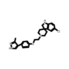 Cc1n[nH]cc1-c1ccc(OCCN2CCC3(CC2)CNc2ccc(Cl)cc23)cc1